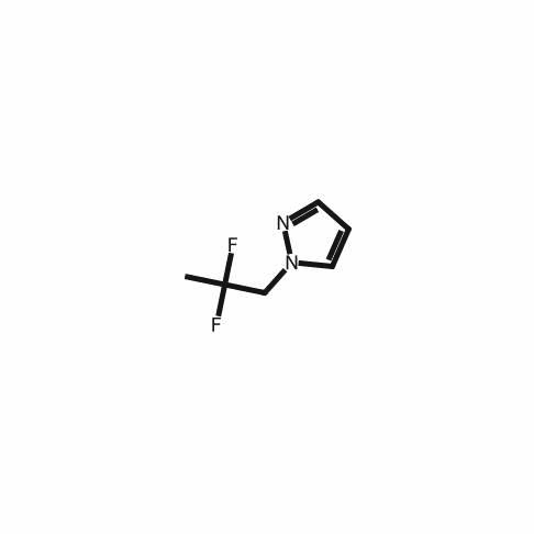 CC(F)(F)Cn1cccn1